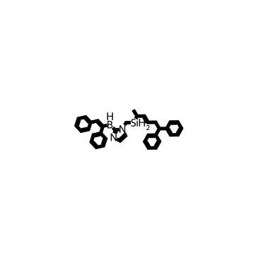 CC(C=CCC(c1ccccc1)c1ccccc1)[SiH2]Cn1ccnc1BC(=Cc1ccccc1)c1ccccc1